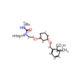 CCCCCCCN(CCOC1CCCC(OCc2cccc(C)c2C(=O)O)C1)C(=O)NCCCC